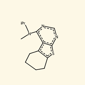 CC(C)N(C)c1ncnc2sc3c(c12)CCCC3